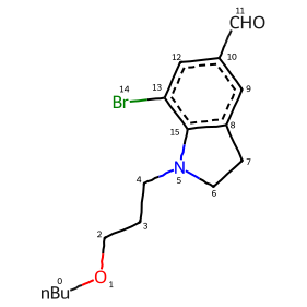 CCCCOCCCN1CCc2cc(C=O)cc(Br)c21